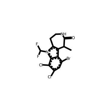 CC1C(=O)NCCc2c1c1c(Br)cc(Cl)c(Cl)c1n2C(F)F